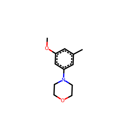 COc1cc(C)cc(N2CCOCC2)c1